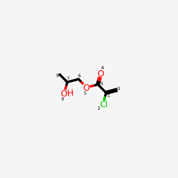 C=C(Cl)C(=O)OCC(C)O